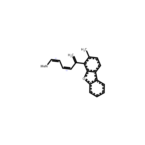 C=C(/C=C\C=C/NC)c1c(C)ccc2c1oc1ccccc12